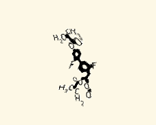 C=C(C)C(=O)OCC(COC=O)Cc1ccc(-c2ccc(OC(=O)C(=C)C)cc2F)cc1F